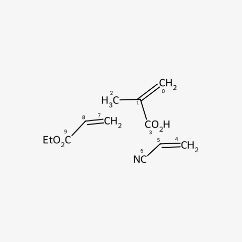 C=C(C)C(=O)O.C=CC#N.C=CC(=O)OCC